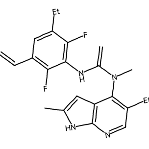 C=Cc1cc(CC)c(F)c(NC(=C)N(C)c2c(CC)cnc3[nH]c(C)cc23)c1F